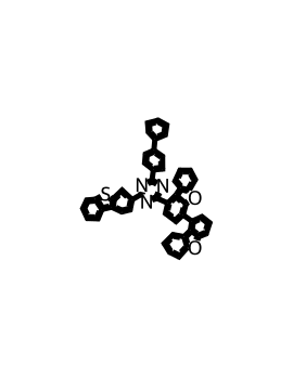 c1ccc(-c2ccc(-c3nc(-c4ccc5c(c4)sc4ccccc45)nc(-c4ccc(-c5cccc6oc7ccccc7c56)c5oc6ccccc6c45)n3)cc2)cc1